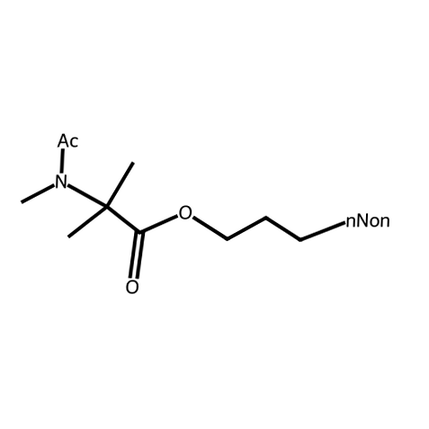 CCCCCCCCCCCCOC(=O)C(C)(C)N(C)C(C)=O